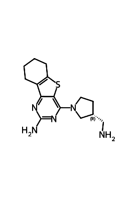 NC[C@H]1CCN(c2nc(N)nc3c4c(sc23)CCCC4)C1